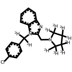 [2H]C([2H])(c1ccc(Cl)cc1)n1c(CN2C([2H])([2H])C([2H])([2H])C([2H])([2H])C2([2H])[2H])nc2ccccc21